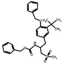 CC(C)(C)c1cc(CC(CS(C)(=O)=O)NC(=O)OCc2ccccc2)ccc1OCc1ccccc1